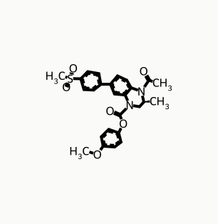 COc1ccc(OC(=O)N2C[C@H](C)N(C(C)=O)c3ccc(-c4ccc(S(C)(=O)=O)cc4)cc32)cc1